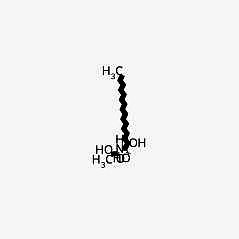 CCCCCCCCCCCCCCC[C@@H](O)[C@H](CO)NC(=O)[C@H](C)O